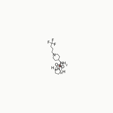 N[C@H]1C[C@H]2CC[C@@H](C1)N2S(=O)(=O)CC1CCN(CCCC(F)(F)F)CC1